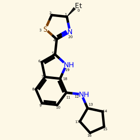 CC[C@@H]1CSC(c2cc3cccc(NC4CCCC4)c3[nH]2)=N1